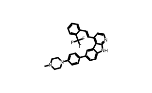 CN1CCN(c2ccc(-c3ccc4[nH]c5nccc(/C=C/c6ccccc6C(F)(F)F)c5c4c3)cc2)CC1